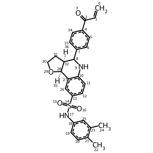 C=CC(=O)c1ccc(C2Nc3ccc(S(=O)(=O)Nc4ccc(C)c(C)c4)cc3[C@H]3OCC[C@@H]23)cc1